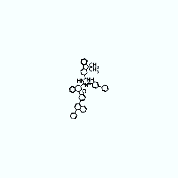 CC1(C)c2ccccc2C2=CCC(C3NC(C4Cc5ccccc5C5C6CC(C7=C8C=CCCC8C(C8=CCCC=C8)C=C7)=CC=C6OC45)=N[C@H](C4C=CC(C5C=CC=CC5)=CC4)N3)CC21